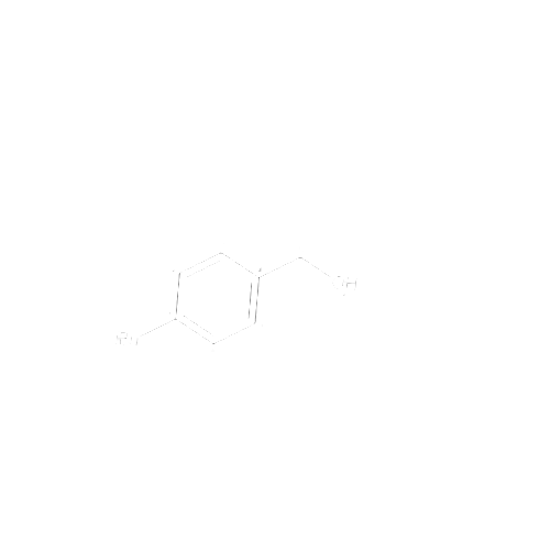 CCC(C)c1ccc(CO)cc1